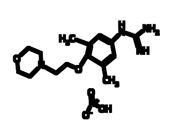 Cc1cc(NC(=N)N)cc(C)c1OCCN1CCOCC1.O=[N+]([O-])O